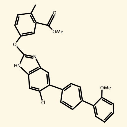 COC(=O)c1cc(Oc2nc3cc(-c4ccc(-c5ccccc5OC)cc4)c(Cl)cc3[nH]2)ccc1C